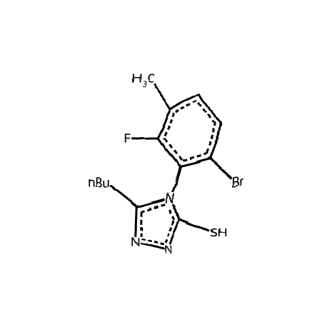 CCCCc1nnc(S)n1-c1c(Br)ccc(C)c1F